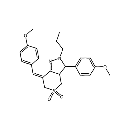 CCCN1N=C2/C(=C\c3ccc(OC)cc3)CS(=O)(=O)CC2C1c1ccc(OC)cc1